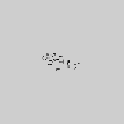 CCc1cc(NC(=O)C[N+]23CCC(CC2)C(OC(=O)[C@@](O)(c2cccs2)C2CCC2)C3)no1.[Br-]